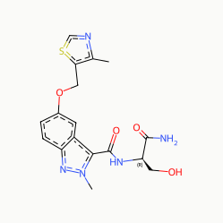 Cc1ncsc1COc1ccc2nn(C)c(C(=O)N[C@H](CO)C(N)=O)c2c1